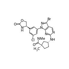 CNC(=O)[C@]1(C)CC[C@@H](Nc2ncc3c(Br)nn(-c4cc(Cl)cc([C@@H]5COC(=O)N5)c4)c3n2)C1